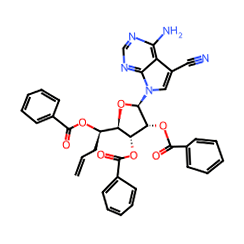 C=CC[C@@H](OC(=O)c1ccccc1)[C@H]1O[C@@H](n2cc(C#N)c3c(N)ncnc32)[C@H](OC(=O)c2ccccc2)[C@@H]1OC(=O)c1ccccc1